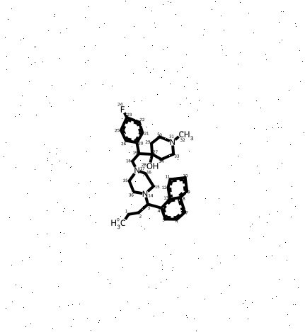 CCCC(c1cccc2ccccc12)N1CCN(CC(c2ccc(F)cc2)C2(O)CCN(C)CC2)CC1